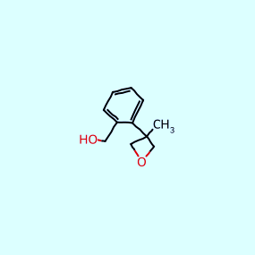 CC1(c2ccccc2CO)COC1